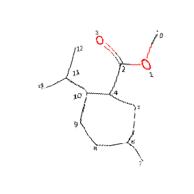 [CH2]OC(=O)C1CC(C)CCC1C(C)C